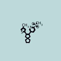 Cc1csc(C2=C(c3ccc(S(C)(=O)=O)nc3)CC3(CCCC3)C2)c1